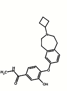 CNC(=O)c1ccc(Oc2ccc3c(c2)CCN(C2CCC2)CC3)c(O)c1